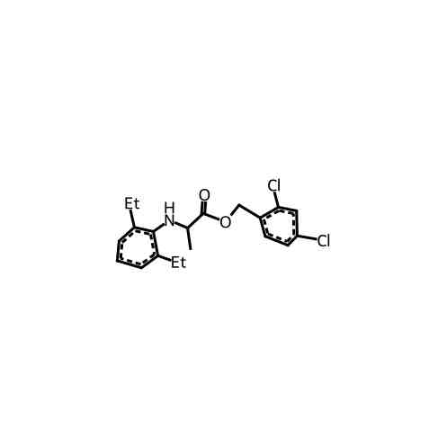 CCc1cccc(CC)c1NC(C)C(=O)OCc1ccc(Cl)cc1Cl